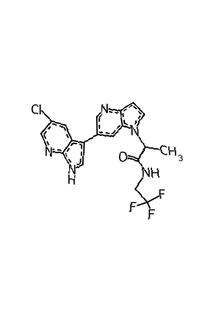 CC(C(=O)NCC(F)(F)F)n1ccc2ncc(-c3c[nH]c4ncc(Cl)cc34)cc21